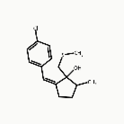 CSCC1(O)/C(=C\c2ccc(Cl)cc2)CCC1C